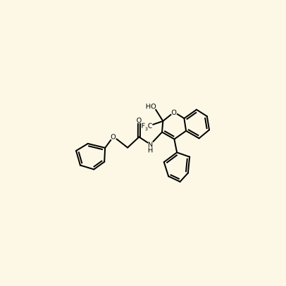 O=C(COc1ccccc1)NC1=C(c2ccccc2)c2ccccc2OC1(O)C(F)(F)F